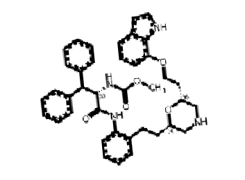 COC(=O)N[C@H](C(=O)Nc1ccccc1CC[C@@H]1CNC[C@@H](CCOc2cccc3cc[nH]c23)O1)C(c1ccccc1)c1ccccc1